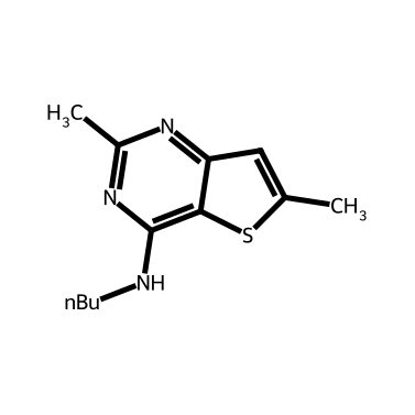 CCCCNc1nc(C)nc2cc(C)sc12